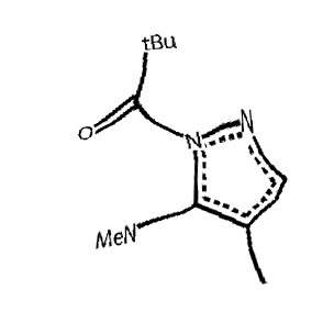 CNc1c(C)cnn1C(=O)C(C)(C)C